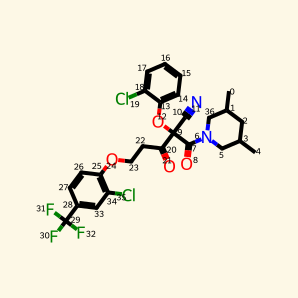 CC1CC(C)CN(C(=O)C(C#N)(Oc2ccccc2Cl)C(=O)CCOc2ccc(C(F)(F)F)cc2Cl)C1